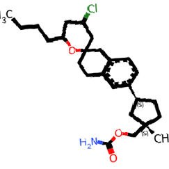 CCCCC1CC(Cl)CC2(CCc3cc([C@H]4CC[C@](C)(COC(N)=O)C4)ccc3C2)O1